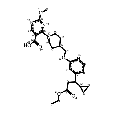 CCOC(=O)CC(c1ccnc(OCC2CCN(c3nc(OC)ncc3C(=O)O)CC2)c1)C1CC1